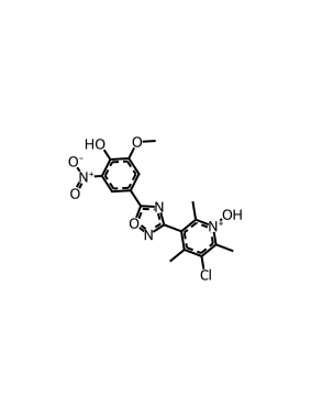 COc1cc(-c2nc(-c3c(C)c(Cl)c(C)[n+](O)c3C)no2)cc([N+](=O)[O-])c1O